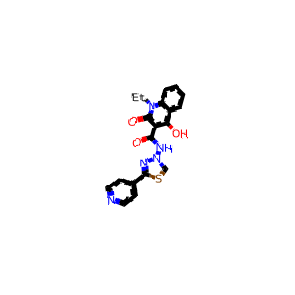 CCn1c(=O)c(C(=O)NN2CSC(c3ccncc3)=N2)c(O)c2ccccc21